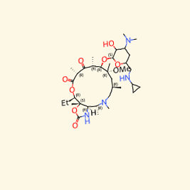 CC[C@H]1OC(=O)[C@H](C)C(=O)[C@H](C)[C@@H](O[C@@H]2OC(CNC3CC3)CC(N(C)C)C2O)[C@](C)(OC)C[C@@H](C)CN(C)[C@H](C)[C@H]2NC(=O)O[C@@]21C